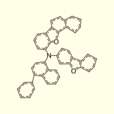 c1ccc(-c2ccc(N(c3ccc4c(c3)oc3ccccc34)c3cccc4c3oc3c5ccccc5ccc43)c3ccccc23)cc1